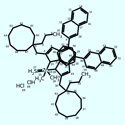 CCCC1(CC2=Cc3c(-c4ccc5ccccc5c4)cccc3[CH]2[Zr]([CH3])([CH3])(=[SiH2])[CH]2C(CC3(CCC)CCCCCCCC3)=Cc3c(-c4ccc5ccccc5c4)cccc32)CCCCCCCC1.Cl.Cl